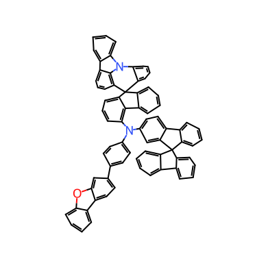 c1ccc2c(c1)-c1ccccc1C21c2ccccc2-c2ccc(N(c3ccc(-c4ccc5c(c4)oc4ccccc45)cc3)c3cccc4c3-c3ccccc3C43c4ccccc4-n4c5ccccc5c5cccc3c54)cc21